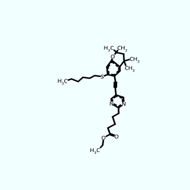 CCCCCCSc1cc2c(cc1C#Cc1cnc(CCCCC(=O)OCC)nc1)C(C)(C)CC(C)(C)O2